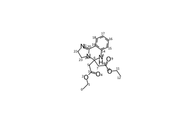 CCOC(=O)CC1(CC(=O)OCC)Nc2ccccc2C2=NCCN21